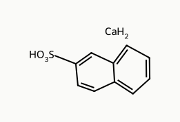 O=S(=O)(O)c1ccc2ccccc2c1.[CaH2]